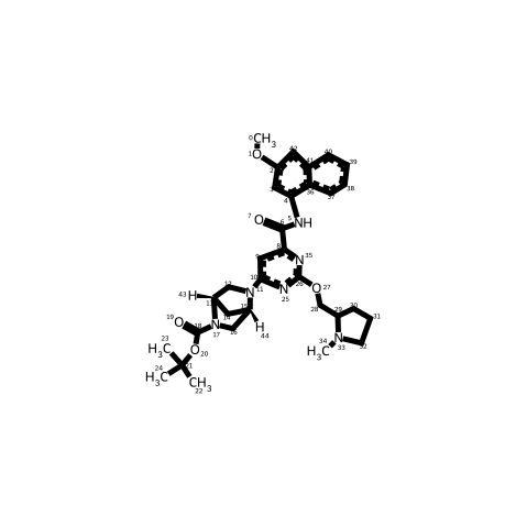 COc1cc(NC(=O)c2cc(N3C[C@@H]4C[C@H]3CN4C(=O)OC(C)(C)C)nc(OCC3CCCN3C)n2)c2ccccc2c1